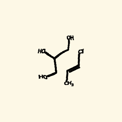 CC=CCl.OCC(O)CO